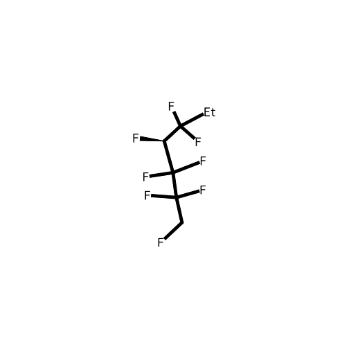 [CH2]CC(F)(F)[C@H](F)C(F)(F)C(F)(F)CF